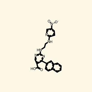 O=C(O)c1cnc(NCCNc2ccc([N+](=O)[O-])cn2)nc1-c1ccc2ccccc2c1